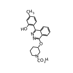 Cc1ccc(-c2nnc(O[C@@H]3CCCN(C(=O)O)C3)c3ccccc23)c(O)c1